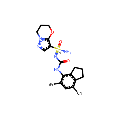 CC(C)c1cc(C#N)c2c(c1NC(=O)N=[S@@](N)(=O)c1cnn3c1OCCC3)CCC2